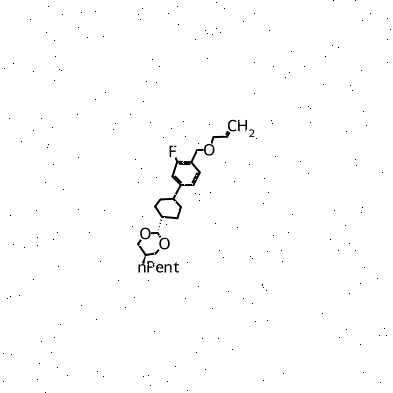 C=CCOCc1ccc(C2CCC([C@H]3OC[C@H](CCCCC)CO3)CC2)cc1F